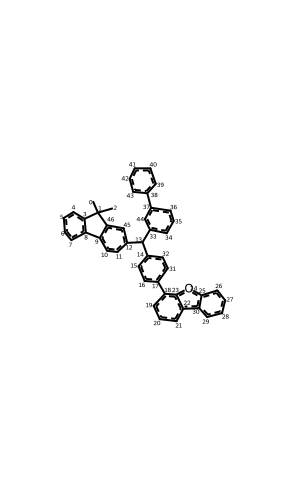 CC1(C)c2ccccc2-c2ccc(C(c3ccc(-c4cccc5c4oc4ccccc45)cc3)c3cccc(-c4ccccc4)c3)cc21